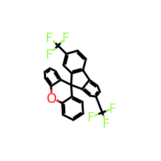 FC(F)(F)c1ccc2c(c1)C1(c3ccccc3Oc3ccccc31)c1cc(C(F)(F)F)ccc1-2